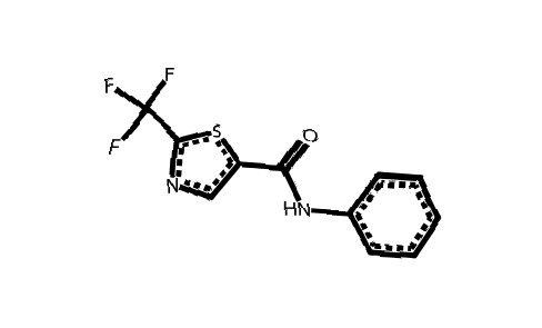 O=C(Nc1ccccc1)c1cnc(C(F)(F)F)s1